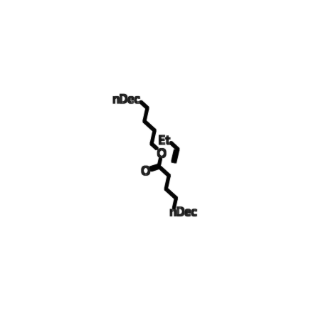 C=CCC.CCCCCCCCCCCCCCOC(=O)CCCCCCCCCCCCC